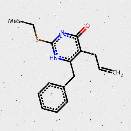 C=CCc1c(Cc2ccccc2)[nH]c(SCSC)nc1=O